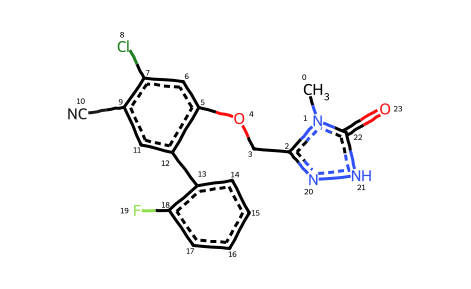 Cn1c(COc2cc(Cl)c(C#N)cc2-c2ccccc2F)n[nH]c1=O